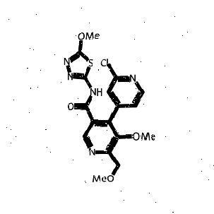 COCc1ncc(C(=O)Nc2nnc(OC)s2)c(-c2ccnc(Cl)c2)c1OC